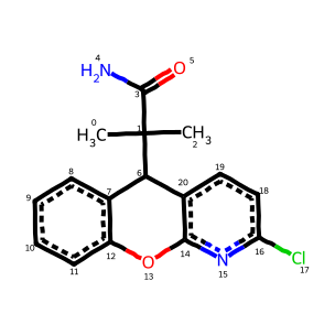 CC(C)(C(N)=O)C1c2ccccc2Oc2nc(Cl)ccc21